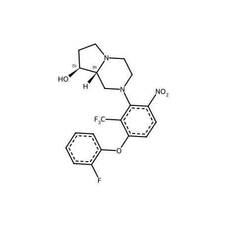 O=[N+]([O-])c1ccc(Oc2ccccc2F)c(C(F)(F)F)c1N1CCN2CC[C@H](O)[C@H]2C1